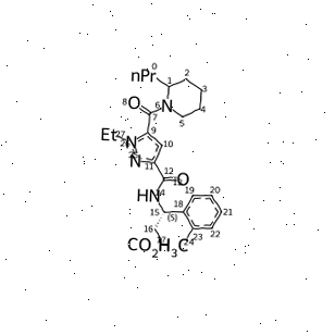 CCCC1CCCCN1C(=O)c1cc(C(=O)N[C@@H](CC(=O)O)c2ccccc2C)nn1CC